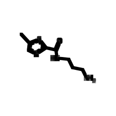 Cc1cnc(C(=O)NCCCN)s1